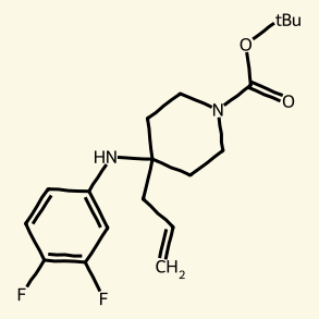 C=CCC1(Nc2ccc(F)c(F)c2)CCN(C(=O)OC(C)(C)C)CC1